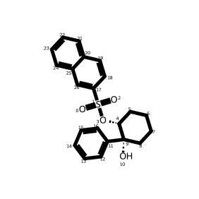 O=S(=O)(O[C@@H]1CCCC[C@@]1(O)c1ccccc1)c1ccc2ccccc2c1